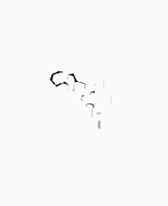 C=CN(/C=N\C(=C)BC)Cc1cn2ccccc2n1